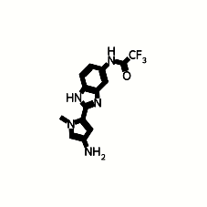 Cn1cc(N)cc1-c1nc2cc(NC(=O)C(F)(F)F)ccc2[nH]1